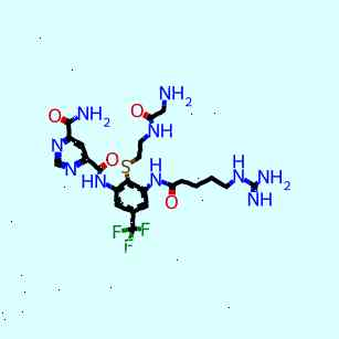 N=C(N)NCCCCC(=O)Nc1cc(C(F)(F)F)cc(NC(=O)c2cc(C(N)=O)ncn2)c1SCCNC(=O)CN